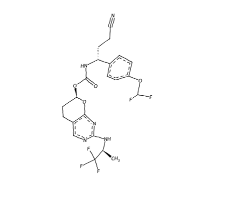 C[C@H](Nc1ncc2c(n1)O[C@H](OC(=O)N[C@H](CCC#N)c1ccc(OC(F)F)cc1)CC2)C(F)(F)F